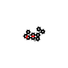 c1ccc(-c2ccccc2N(c2ccc(-c3cccc(-n4c5ccccc5c5ccccc54)c3)cc2)c2ccccc2-c2ccc3c(c2)oc2ccccc23)cc1